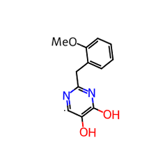 COc1ccccc1Cc1n[c]c(O)c(O)n1